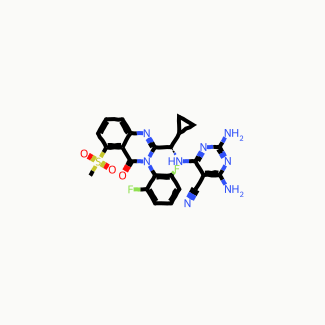 CS(=O)(=O)c1cccc2nc([C@@H](Nc3nc(N)nc(N)c3C#N)C3CC3)n(-c3c(F)cccc3F)c(=O)c12